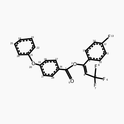 O=C(O/C(=C/C(F)(F)F)c1ccc(F)cc1)c1ccc(Oc2ccccc2)cc1